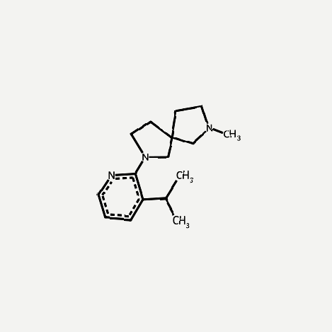 CC(C)c1cccnc1N1CCC2(CCN(C)C2)C1